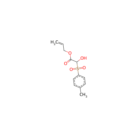 C=CCOC(=O)C(O)S(=O)(=O)c1ccc(C)cc1